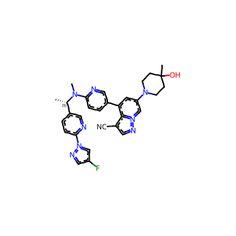 C[C@@H](c1ccc(-n2cc(F)cn2)nc1)N(C)c1ccc(-c2cc(N3CCC(C)(O)CC3)cn3ncc(C#N)c23)cn1